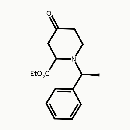 CCOC(=O)C1CC(=O)CCN1[C@@H](C)c1ccccc1